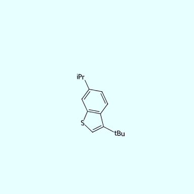 CC(C)c1ccc2c(C(C)(C)C)csc2c1